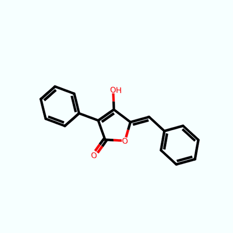 O=C1O/C(=C\c2ccccc2)C(O)=C1c1ccccc1